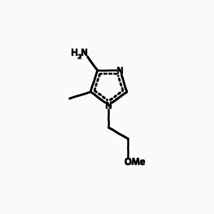 COCCn1cnc(N)c1C